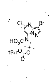 CC(C)(C)OC(=O)OC(C)(C)CN(C(=O)O)c1cc(Cl)nc2c(Br)cnn12